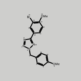 COc1ccc(Cn2nnc(-c3ccc(OC)c(Br)c3)n2)cc1